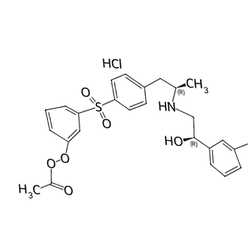 CC(=O)OOc1cccc(S(=O)(=O)c2ccc(C[C@@H](C)NC[C@H](O)c3cccc(Cl)c3)cc2)c1.Cl